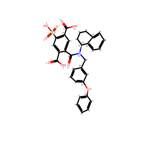 O=C(O)c1cc(S(=O)(=O)O)c(C(=O)O)cc1C(=O)N(Cc1cccc(Oc2ccccc2)c1)[C@H]1CCCc2ccccc21